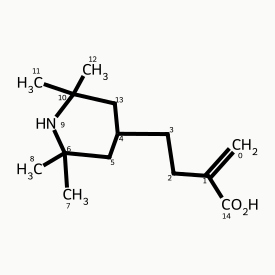 C=C(CCC1CC(C)(C)NC(C)(C)C1)C(=O)O